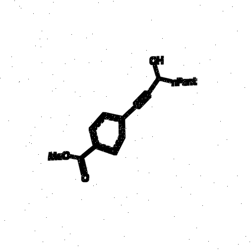 CCCCCC(O)C#Cc1ccc(C(=O)OC)cc1